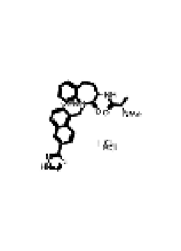 CN[C@@H](C)C(=O)N[C@H]1CCc2ccccc2N(Cc2c(OC)ccc3cc(-c4nc[nH]n4)ccc23)C1=O.Cl.Cl